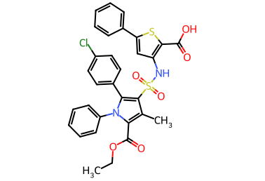 CCOC(=O)c1c(C)c(S(=O)(=O)Nc2cc(-c3ccccc3)sc2C(=O)O)c(-c2ccc(Cl)cc2)n1-c1ccccc1